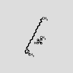 CCCCCCCCCCCCCCCCCCN1CCN(C)C1.COS(=O)(=O)O